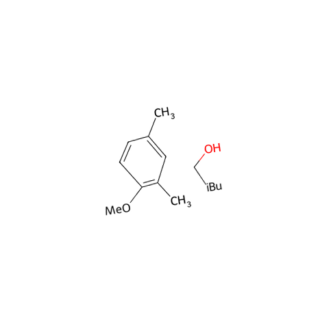 CCC(C)CO.COc1ccc(C)cc1C